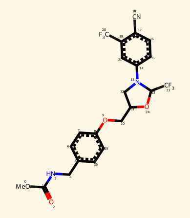 COC(=O)NCc1ccc(OCC2CN(c3ccc(C#N)c(C(F)(F)F)c3)C(C(F)(F)F)O2)cc1